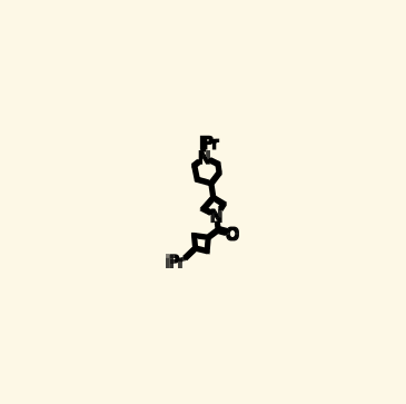 CC(C)C1CC(C(=O)N2CC(C3CCN(C(C)C)CC3)C2)C1